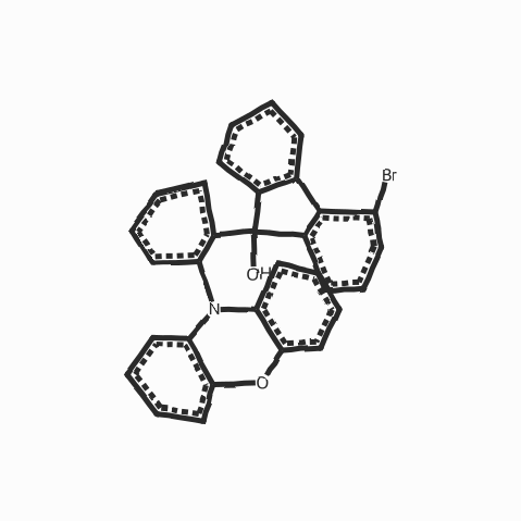 OC1(c2ccccc2N2c3ccccc3Oc3ccccc32)c2ccccc2-c2c(Br)cccc21